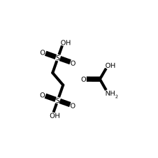 NC(=O)O.O=S(=O)(O)CCS(=O)(=O)O